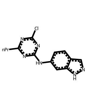 CCCc1nc(Cl)nc(Nc2ccc3cn[nH]c3c2)n1